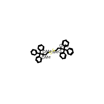 COC(CCSSCCC(OC)(OC)C(c1ccccc1)(c1ccccc1)c1ccccc1)(OC)C(c1ccccc1)(c1ccccc1)c1ccccc1